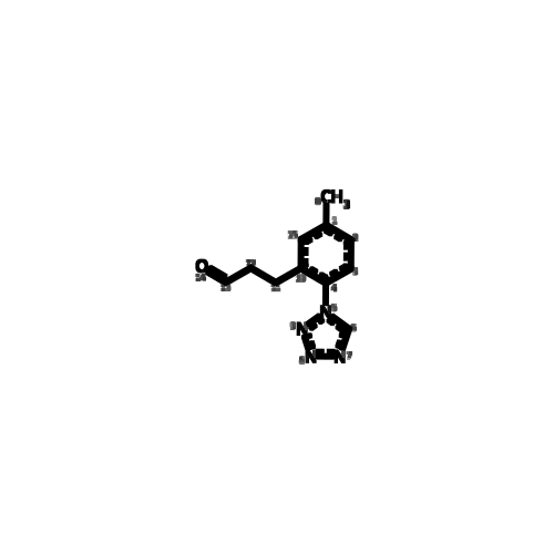 Cc1ccc(-n2cnnn2)c(CCC=O)c1